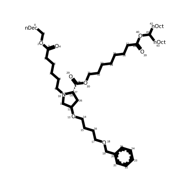 CCCCCCCCCCCOC(=O)CCCCCN1CC(OCCCCOCc2ccccc2)C[C@H]1C(=O)OCCCCCCCC(=O)OC(CCCCCCCC)CCCCCCCC